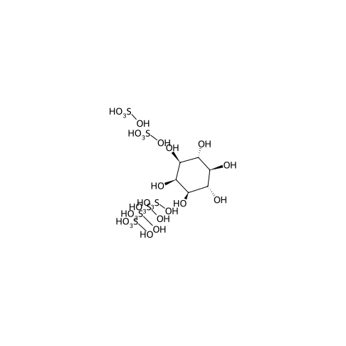 O=S(=O)(O)O.O=S(=O)(O)O.O=S(=O)(O)O.O=S(=O)(O)O.O=S(=O)(O)O.O=S(=O)(O)O.O[C@H]1[C@H](O)[C@@H](O)[C@H](O)[C@@H](O)[C@H]1O